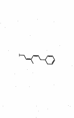 CC(/C=C\CC1C=CC=CC1)=C/CI